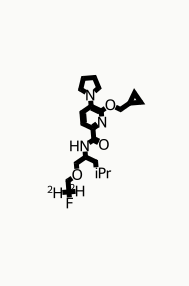 [2H]C([2H])(F)COCC(CC(C)C)NC(=O)c1ccc(N2CCCC2)c(OCC2CC2)n1